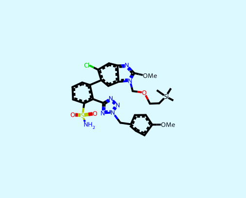 COc1ccc(Cn2nnc(-c3c(-c4cc5c(cc4Cl)nc(OC)n5COCC[Si](C)(C)C)cccc3S(N)(=O)=O)n2)cc1